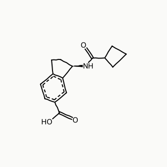 O=C(O)c1ccc2c(c1)[C@H](NC(=O)C1CCC1)CC2